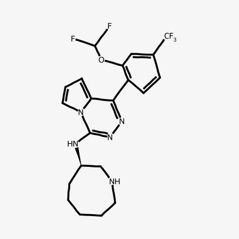 FC(F)Oc1cc(C(F)(F)F)ccc1-c1nnc(N[C@@H]2CCCCCNC2)n2cccc12